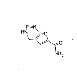 NC(=O)c1cc2c(o1)N=CNC2